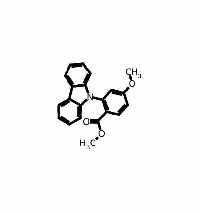 COC(=O)c1ccc(OC)cc1-n1c2ccccc2c2ccccc21